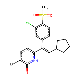 CCc1ccc(C(=CC2CCCC2)c2ccc(S(C)(=O)=O)c(Cl)c2)[nH]c1=O